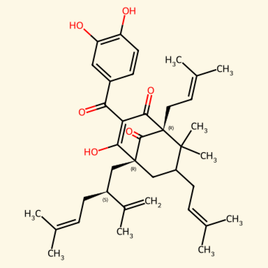 C=C(C)[C@@H](CC=C(C)C)C[C@@]12CC(CC=C(C)C)C(C)(C)[C@@](CC=C(C)C)(C(=O)C(C(=O)c3ccc(O)c(O)c3)=C1O)C2=O